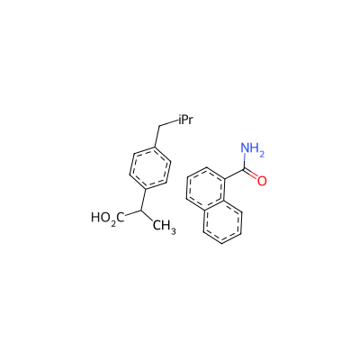 CC(C)Cc1ccc(C(C)C(=O)O)cc1.NC(=O)c1cccc2ccccc12